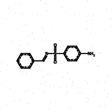 Nc1ccc(S(=O)(=O)N=Cc2ccccc2)cc1